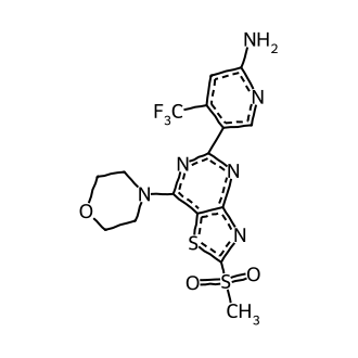 CS(=O)(=O)c1nc2nc(-c3cnc(N)cc3C(F)(F)F)nc(N3CCOCC3)c2s1